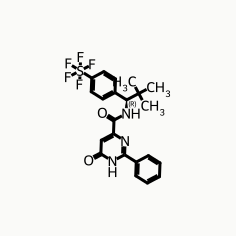 CC(C)(C)[C@@H](NC(=O)c1cc(=O)[nH]c(-c2ccccc2)n1)c1ccc(S(F)(F)(F)(F)F)cc1